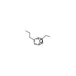 CCCc1cc2cc(CC)c1o2